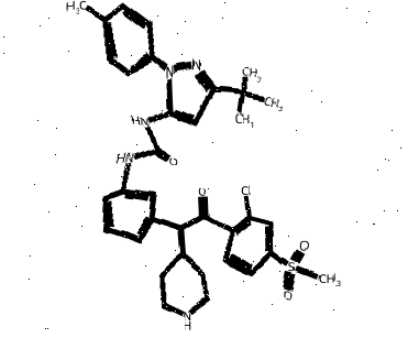 Cc1ccc(-n2nc(C(C)(C)C)cc2NC(=O)Nc2cccc(C(C(=O)c3ccc(S(C)(=O)=O)cc3Cl)C3CCNCC3)c2)cc1